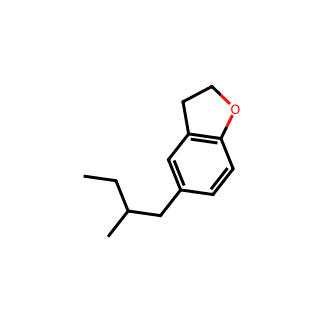 CCC(C)Cc1ccc2c(c1)CCO2